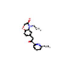 CCN1C(=O)COc2ccc(CC(=O)c3cccc(C)n3)cc21